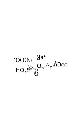 CCCCCCCCCCCCCOC(=O)C(CC(=O)[O-])S(=O)(=O)O.[Na+]